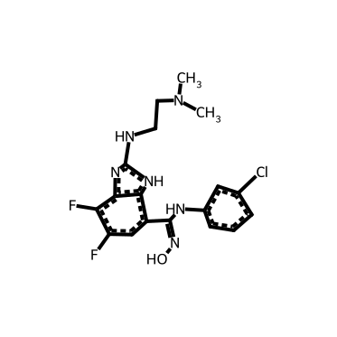 CN(C)CCNc1nc2c(F)c(F)cc(/C(=N\O)Nc3cccc(Cl)c3)c2[nH]1